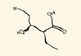 CC[C@H](C(=O)O)C(O)CBr